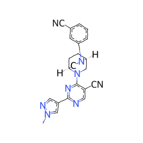 Cn1cc(-c2ncc(C#N)c(N3C[C@@H]4CC[C@H]3CN4c3cccc(C#N)c3)n2)cn1